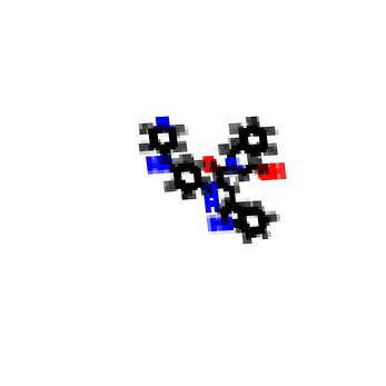 O=C(C(Cc1c[nH]c2ccccc12)Nc1ccc(Nc2ccncc2)cc1)N(CCO)Cc1ccccc1